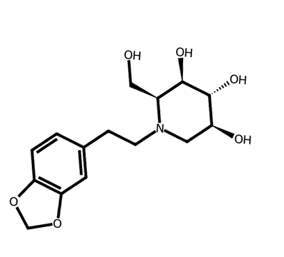 OC[C@H]1[C@@H](O)[C@H](O)[C@@H](O)CN1CCc1ccc2c(c1)OCO2